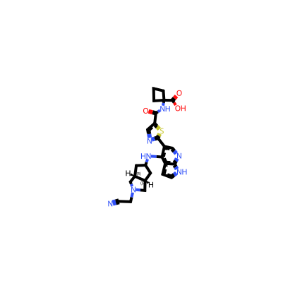 N#CCN1C[C@H]2CC(Nc3c(-c4ncc(C(=O)NC5(C(=O)O)CCC5)s4)cnc4[nH]ccc34)C[C@H]2C1